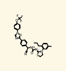 CCCc1ccc(C)cc1N1CCS/C1=N\C(=O)NC(C#N)c1ccc(-c2ncn(-c3ccc(OC(F)(F)F)cc3)n2)cc1